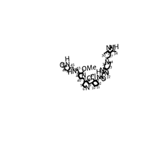 COc1nc(-c2ccnc(-c3cccc(NC(=O)c4nc5c(n4C)CCN(CCc4c(C)n[nH]c4C)C5)c3Cl)c2Cl)ccc1CNC[C@@H]1CCC(=O)N1